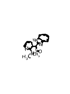 CN(C)c1ncccc1C(=S=O)c1nc2ccccc2[nH]1